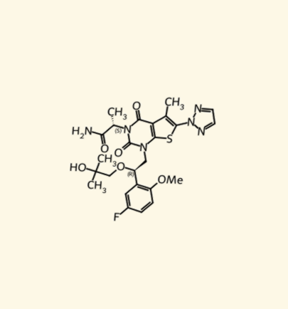 COc1ccc(F)cc1[C@H](Cn1c(=O)n([C@@H](C)C(N)=O)c(=O)c2c(C)c(-n3nccn3)sc21)OCC(C)(C)O